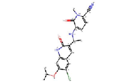 CC(C)Oc1cc2[nH]c(=O)c(C(C)Nc3ccc(C#N)n(C)c3=O)cc2cc1Cl